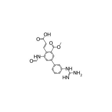 COC(=O)c1cc(-c2cccc(NC(=N)N)c2)cc(NC=O)c1C=CC(=O)O